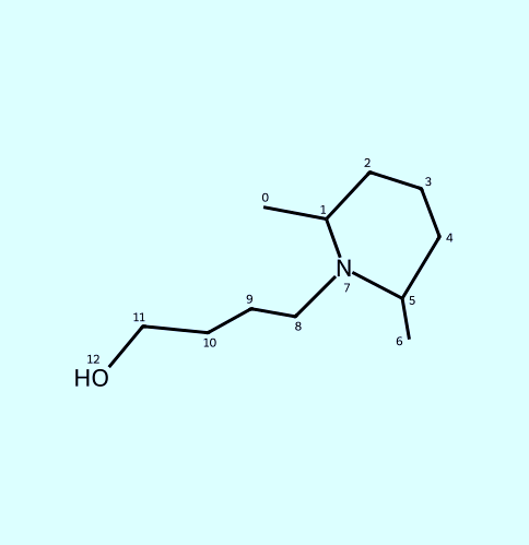 CC1CCCC(C)N1CCCCO